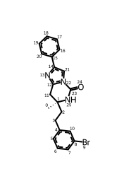 C[C@]1(CCc2cccc(Br)c2)Cc2nc(-c3ccccc3)cn2C(=O)N1